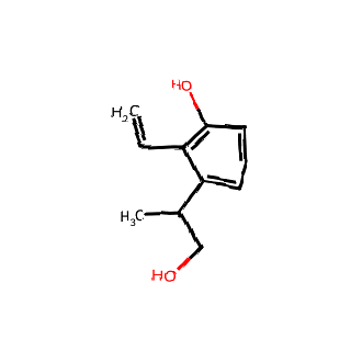 C=Cc1c(O)cccc1[C](C)CO